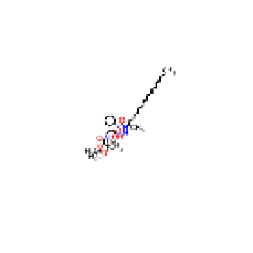 CCCC=CCC=CCC=CCCCCCCC(C)NC(=O)NC1CCCCCC1C(CNC(=O)C1OC(C)(C)OCC1(C)C)C(=O)O